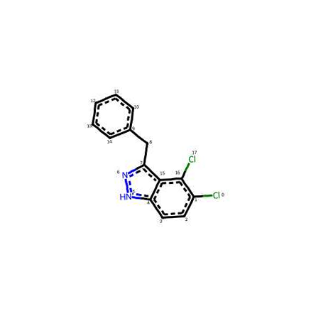 Clc1ccc2[nH]nc(Cc3ccccc3)c2c1Cl